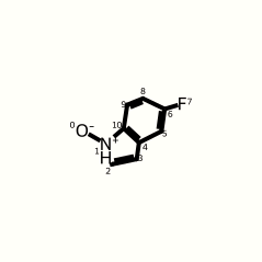 [O-][NH+]1C=Cc2cc(F)ccc21